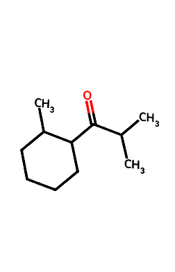 CC(C)C(=O)C1CCCCC1C